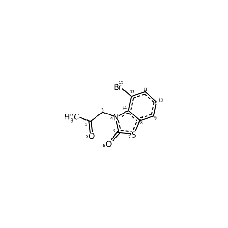 CC(=O)Cn1c(=O)sc2cccc(Br)c21